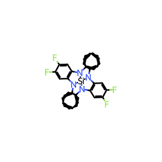 Fc1cc2c(cc1F)N(c1ccccc1)[Si]1(N2c2ccccc2)N(c2ccccc2)c2cc(F)c(F)cc2N1c1ccccc1